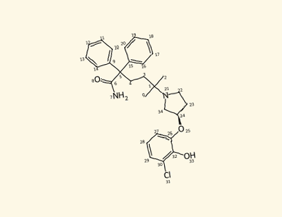 CC(C)(CCC(C(N)=O)(c1ccccc1)c1ccccc1)N1CC[C@@H](Oc2cccc(Cl)c2O)C1